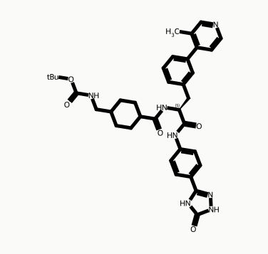 Cc1cnccc1-c1cccc(C[C@H](NC(=O)C2CCC(CNC(=O)OC(C)(C)C)CC2)C(=O)Nc2ccc(-c3n[nH]c(=O)[nH]3)cc2)c1